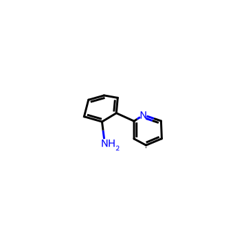 Nc1ccccc1-c1c[c]ccn1